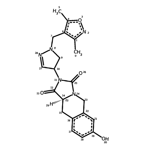 Cc1noc(C)c1CN1CC(N2C(=O)[C@@H]3Cc4ccc(O)cc4CN3C2=O)C=N1